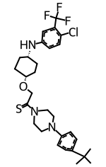 CC(C)(C)c1ccc(N2CCN(C(=S)CO[C@H]3CC[C@@H](Nc4ccc(Cl)c(C(F)(F)F)c4)CC3)CC2)cc1